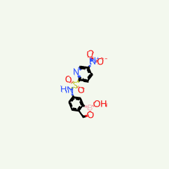 O=[N+]([O-])c1ccc(S(=O)(=O)Nc2ccc3c(c2)B(O)OC3)nc1